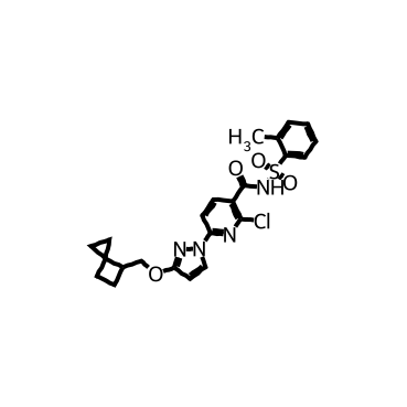 Cc1ccccc1S(=O)(=O)NC(=O)c1ccc(-n2ccc(OCC3CCC34CC4)n2)nc1Cl